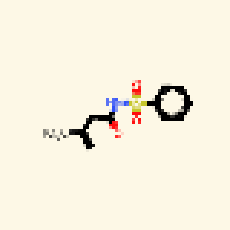 C=C(CC(=O)NS(=O)(=O)c1ccccc1)C(=O)O